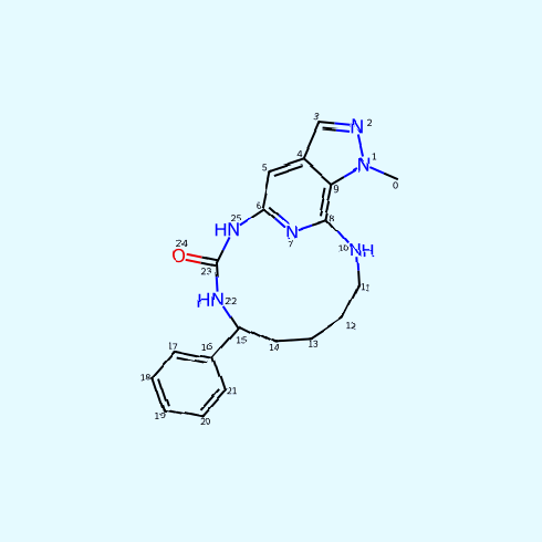 Cn1ncc2cc3nc(c21)NCCCCC(c1ccccc1)NC(=O)N3